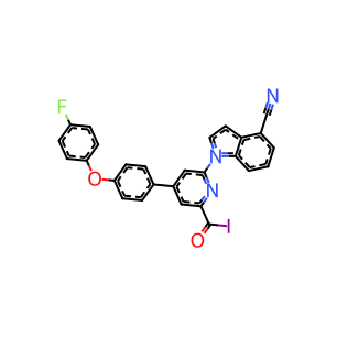 N#Cc1cccc2c1ccn2-c1cc(-c2ccc(Oc3ccc(F)cc3)cc2)cc(C(=O)I)n1